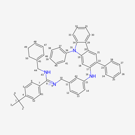 CC(C)(C)c1ccc(/C(=N/Cc2cccc(Nc3cc4c(cc3-c3ccccc3)c3ccccc3n4-c3ccccc3)c2)NCC2=CC=CCC2)cc1